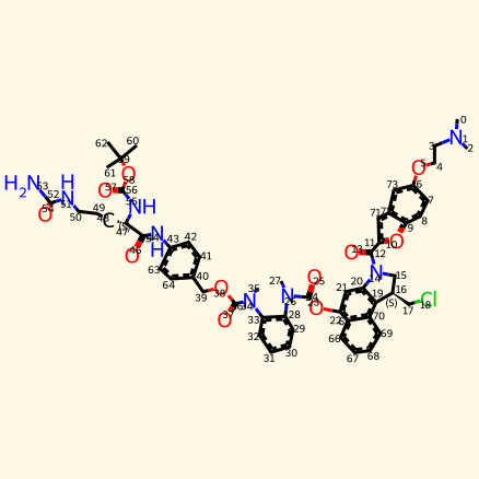 CN(C)CCOc1ccc2oc(C(=O)N3C[C@@H](CCl)c4c3cc(OC(=O)N(C)c3ccccc3N(C)C(=O)OCc3ccc(NC(=O)[C@H](CCCNC(N)=O)NC(=O)OC(C)(C)C)cc3)c3ccccc43)cc2c1